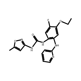 CCOc1cc(Nc2ccccn2)c(NC(=O)Nc2cc(C)on2)cc1F